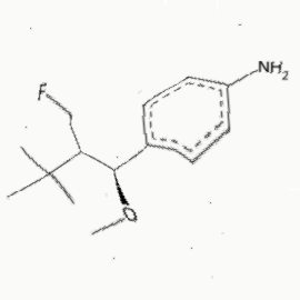 CO[C@H](c1ccc(N)cc1)C(CF)C(C)(C)C